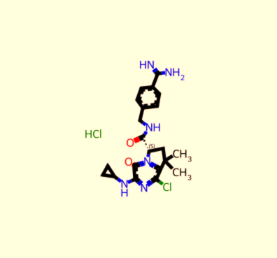 CC1(C)C[C@@H](C(=O)NCc2ccc(C(=N)N)cc2)n2c1c(Cl)nc(NC1CC1)c2=O.Cl